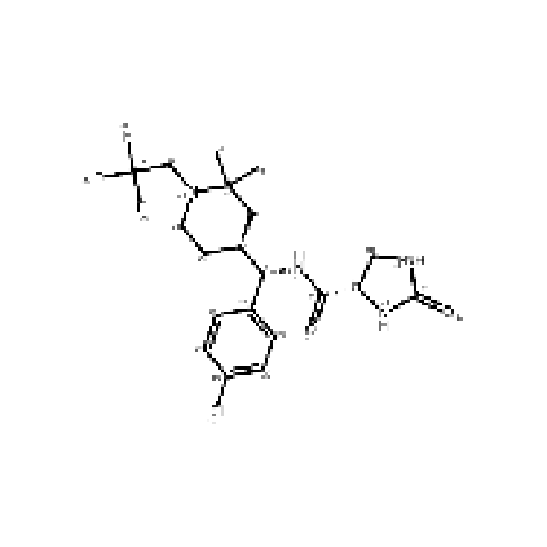 CC1(C)C[C@@H]([C@H](NC(=O)[C@@H]2CNC(=O)N2)c2ccc(Cl)cc2)CCN1CC(F)(F)F